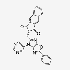 O=C1C(=Cc2nc3oc(-c4ccccc4)nc3n2-c2cncnc2)C(=O)c2cc3ccccc3cc21